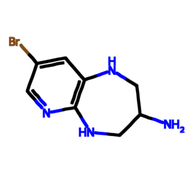 NC1CNc2cc(Br)cnc2NC1